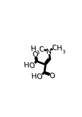 CN(C)C=C(C(=O)O)C(=O)O